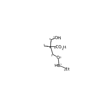 CCBOCC(C)(CO)C(=O)O